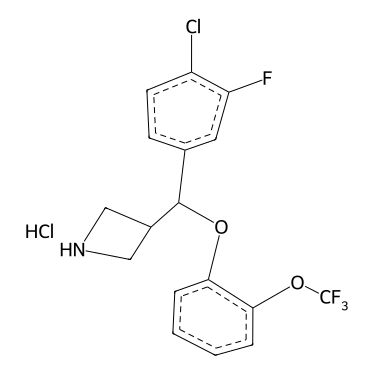 Cl.Fc1cc(C(Oc2ccccc2OC(F)(F)F)C2CNC2)ccc1Cl